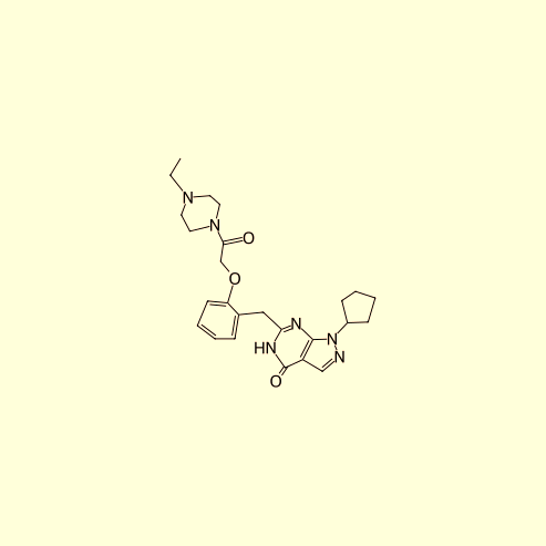 CCN1CCN(C(=O)COc2ccccc2Cc2nc3c(cnn3C3CCCC3)c(=O)[nH]2)CC1